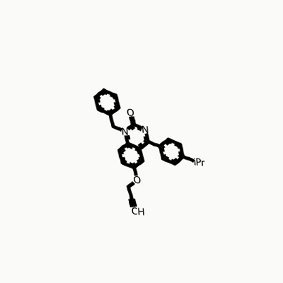 C#CCOc1ccc2c(c1)c(-c1ccc(C(C)C)cc1)nc(=O)n2Cc1ccccc1